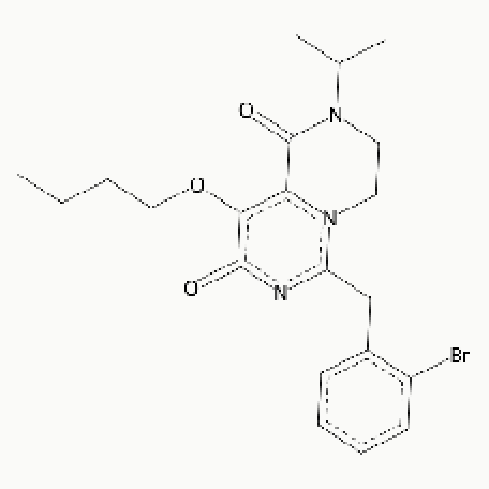 CCCCOc1c2n(c(Cc3ccccc3Br)nc1=O)CCN(C(C)C)C2=O